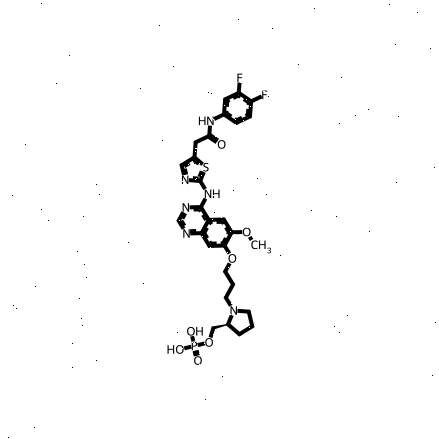 COc1cc2c(Nc3ncc(CC(=O)Nc4ccc(F)c(F)c4)s3)ncnc2cc1OCCCN1CCC[C@H]1COP(=O)(O)O